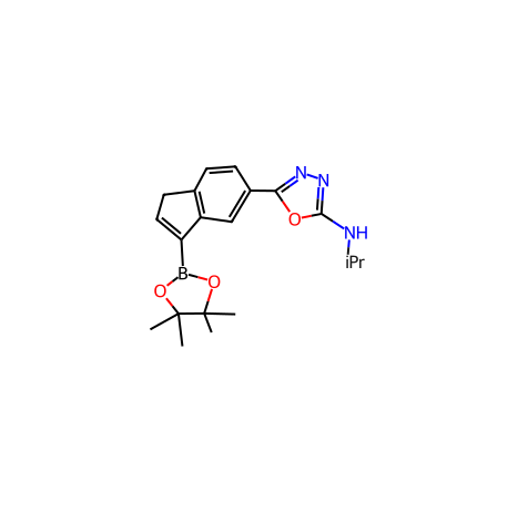 CC(C)Nc1nnc(-c2ccc3c(c2)C(B2OC(C)(C)C(C)(C)O2)=CC3)o1